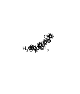 Cc1c(Oc2ccc(S(C)(=O)=O)cc2F)ncnc1OC1CCN(CC(=O)c2ccccc2Cl)CC1